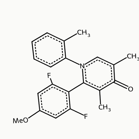 COc1cc(F)c(-c2c(C)c(=O)c(C)cn2-c2ccccc2C)c(F)c1